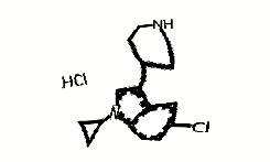 Cl.Clc1ccc2c(c1)c(C1CCNCC1)cn2C1CC1